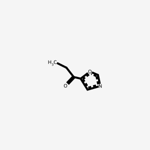 CCC(=O)c1cnco1